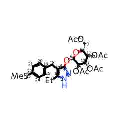 CCc1[nH]nc(O[C@@H]2O[C@H](COC(C)=O)[C@@H](OC(C)=O)[C@H](OC(C)=O)[C@H]2OC(C)=O)c1Cc1ccc(SC)cc1